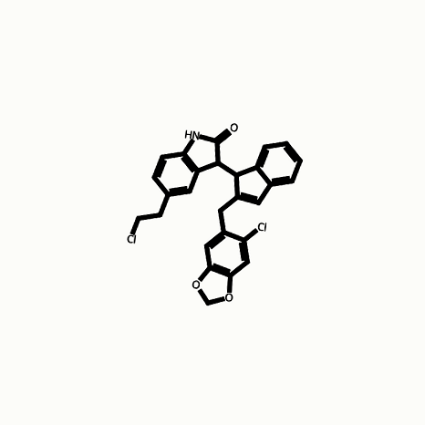 O=C1Nc2ccc(CCCl)cc2C1C1C(Cc2cc3c(cc2Cl)OCO3)=Cc2ccccc21